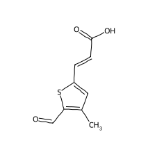 Cc1cc(C=CC(=O)O)sc1C=O